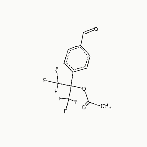 CC(=O)OC(c1ccc(C=O)cc1)(C(F)(F)F)C(F)(F)F